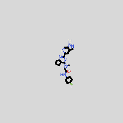 CN(CC(=O)Nc1ccc(F)cc1)c1nc(-c2cc3cn[nH]c3cn2)nc2c1CCC2